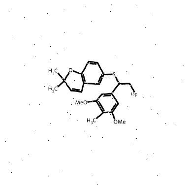 COc1cc(C(C[18F])Sc2ccc3c(c2)C=CC(C)(C)O3)cc(OC)c1C